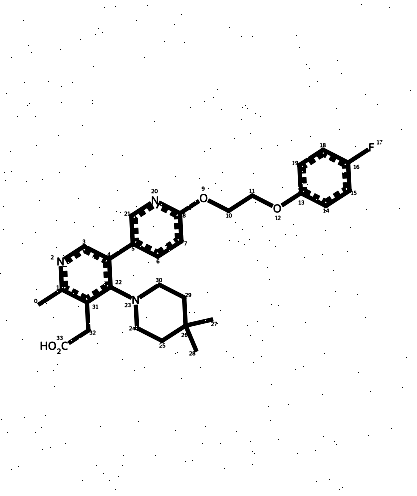 Cc1ncc(-c2ccc(OCCOc3ccc(F)cc3)nc2)c(N2CCC(C)(C)CC2)c1CC(=O)O